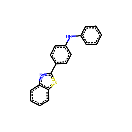 c1ccc(Nc2ccc(-c3nc4ccccc4s3)cc2)cc1